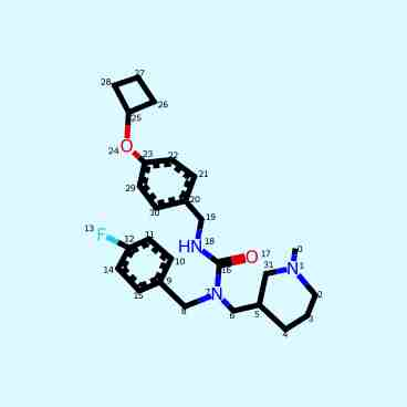 CN1CCCC(CN(Cc2ccc(F)cc2)C(=O)NCc2ccc(OC3CCC3)cc2)C1